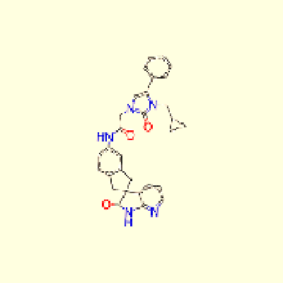 O=C(Cn1cc(-c2ccccc2)n(CC2CC2)c1=O)Nc1ccc2c(c1)CC1(C2)C(=O)Nc2ncccc21